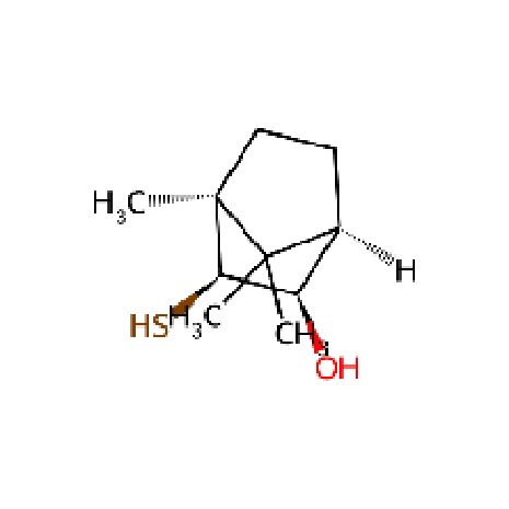 CC1(C)[C@H]2CC[C@]1(C)[C@H](S)[C@@H]2O